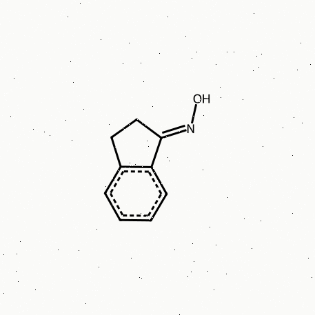 ON=C1CCc2ccccc21